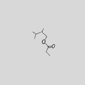 C[CH]C(=O)OCC(C)C(C)C